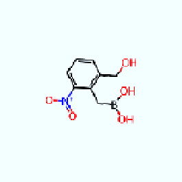 O=[N+]([O-])c1cccc(CO)c1CB(O)O